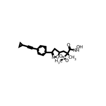 CC(CC1CC(c2ccc(C#CC3CC3)cc2)=NO1)(C(=O)NO)S(C)(=O)=O